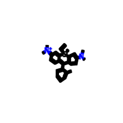 C=C[Si]1(C)C2=CC(=[N+](C)C)C=CC2=C(c2ccccc2C)c2ccc(N(C)C)cc21